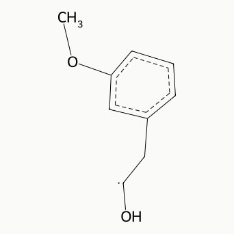 COc1cccc(C[CH]O)c1